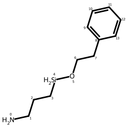 NCCC[SiH2]OCCc1ccccc1